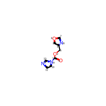 O=C(OCc1cocn1)n1ccnc1